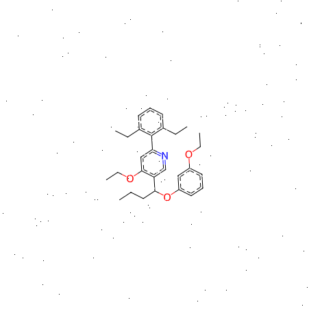 CCCC(Oc1cccc(OCC)c1)c1cnc(-c2c(CC)cccc2CC)cc1OCC